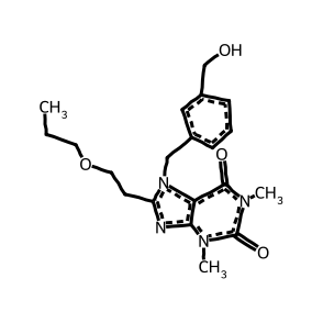 CCCOCCc1nc2c(c(=O)n(C)c(=O)n2C)n1Cc1cccc(CO)c1